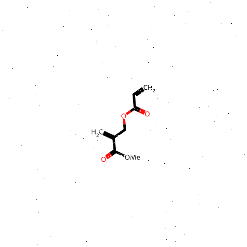 C=CC(=O)OCC(=C)C(=O)OC